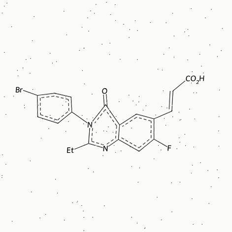 CCc1nc2cc(F)c(C=CC(=O)O)cc2c(=O)n1-c1ccc(Br)cc1